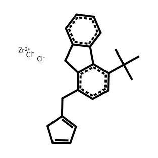 CC(C)(C)c1ccc(CC2=CC=CC2)c2c1-c1ccccc1C2.[Cl-].[Cl-].[Zr+2]